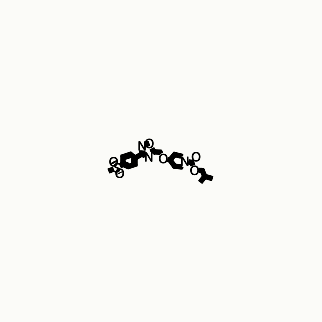 CC(C)COC(=O)N1CCC(OCc2nc(-c3ccc(S(C)(=O)=O)cc3)no2)CC1